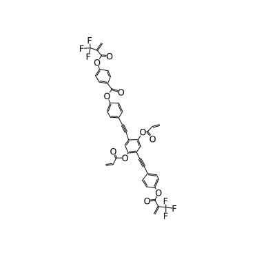 C=CC(=O)Oc1cc(C#Cc2ccc(OC(=O)c3ccc(OC(=O)C(=C)C(F)(F)F)cc3)cc2)c(OC(=O)C=C)cc1C#Cc1ccc(OC(=O)C(=C)C(F)(F)F)cc1